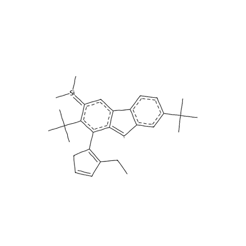 CCC1=C(c2c(C(C)(C)C)c(=[Si](C)C)cc3c2=[C]c2cc(C(C)(C)C)ccc2-3)CC=C1